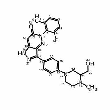 Cc1cccc(F)c1-n1nc2c(-c3ccc(N4CCN(C)C(CO)C4)cc3)n[nH]c2cc1=O